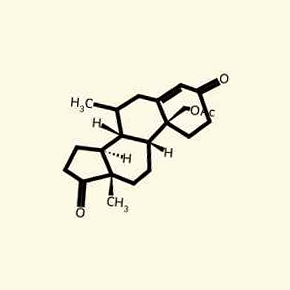 CC(=O)OC[C@]12CCC(=O)C=C1CC(C)[C@@H]1[C@H]2CC[C@]2(C)C(=O)CC[C@@H]12